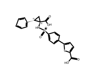 O=C(O)c1ccc(-c2ccc(S(=O)(=O)N[C@]3(C(=O)O)C[C@H]3c3ccccc3)cc2)s1